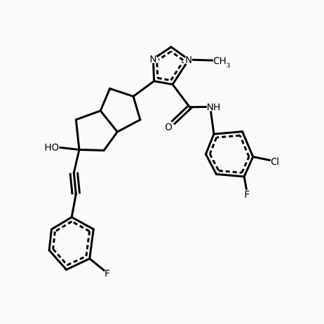 Cn1cnc(C2CC3CC(O)(C#Cc4cccc(F)c4)CC3C2)c1C(=O)Nc1ccc(F)c(Cl)c1